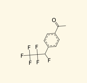 CC(=O)c1ccc(C(F)C(F)(F)C(F)(F)F)cc1